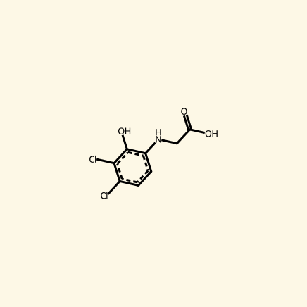 O=C(O)CNc1ccc(Cl)c(Cl)c1O